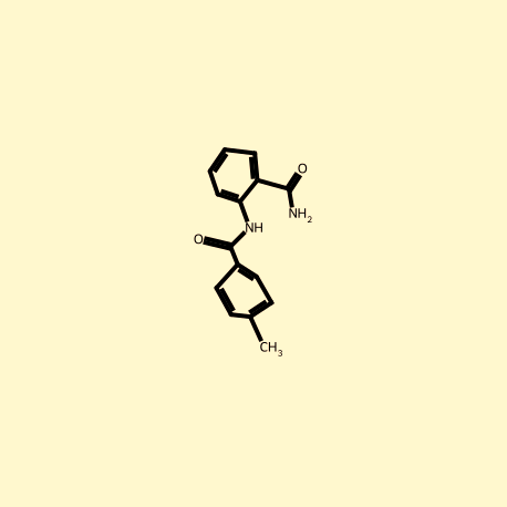 Cc1ccc(C(=O)Nc2ccccc2C(N)=O)cc1